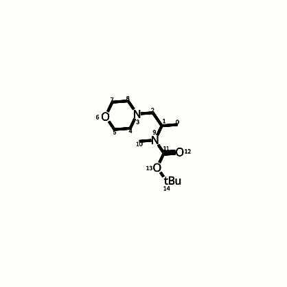 CC(CN1CCOCC1)N(C)C(=O)OC(C)(C)C